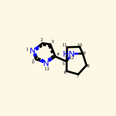 [c]1nccc(C23CCCC(CC2)N3)n1